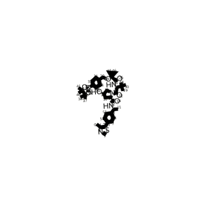 Cc1ncsc1-c1ccc(C(C)NC(=O)[C@@H]2C[C@@H](O)CN2C(=O)C(NC(=O)C2(OCc3ccc(B4OC(C)(C)C(C)(C)O4)cc3)CC2)C(C)(C)C)cc1